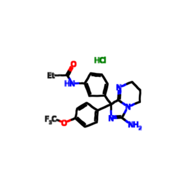 CCC(=O)Nc1cccc(C2(c3ccc(OC(F)(F)F)cc3)N=C(N)N3CCCN=C32)c1.Cl